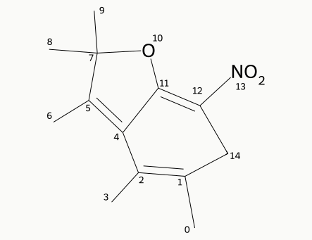 CC1=C(C)C2=C(C)C(C)(C)OC2=C([N+](=O)[O-])C1